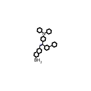 Bc1ccc2cc(/C=C(/c3ccc(N(c4ccccc4)c4ccccc4)cc3)c3cccc(-c4ccccc4)c3)ccc2c1